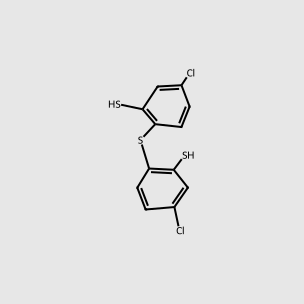 Sc1cc(Cl)ccc1Sc1ccc(Cl)cc1S